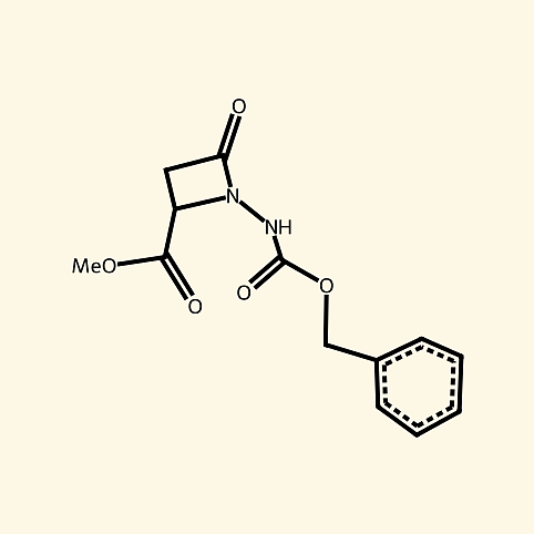 COC(=O)C1CC(=O)N1NC(=O)OCc1ccccc1